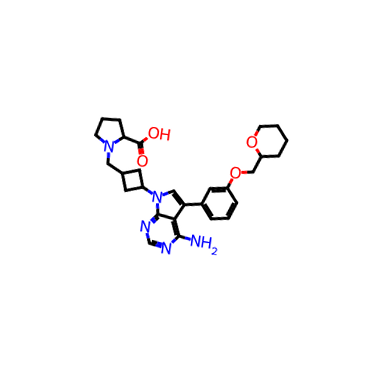 Nc1ncnc2c1c(-c1cccc(OCC3CCCCO3)c1)cn2C1CC(CN2CCCC2C(=O)O)C1